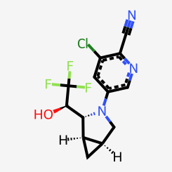 N#Cc1ncc(N2C[C@H]3C[C@H]3[C@@H]2[C@@H](O)C(F)(F)F)cc1Cl